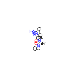 CCCCC(=O)N(Cc1ccc(-c2ccccc2-c2nnn[nH]2)cc1)C(C(=O)N1CCCc2ccccc21)C(C)C